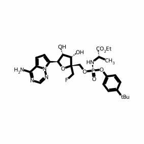 CCOC(=O)[C@H](C)N[P@](=O)(OC[C@@]1(CF)O[C@@H](c2ccc3c(N)ncnn23)[C@H](O)[C@@H]1O)Oc1ccc(C(C)(C)C)cc1